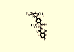 Cc1cc(-c2nc(C(F)(F)F)cn2C)ccc1C(=N)NOC(=O)c1ccc(F)cc1Br